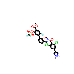 COC(=O)c1cc(F)c(-c2cccc3c2OCN(C(=O)c2c(Cl)cc(-c4cnn(C)c4)cc2Cl)C3)cc1OS(=O)(=O)C(F)(F)F